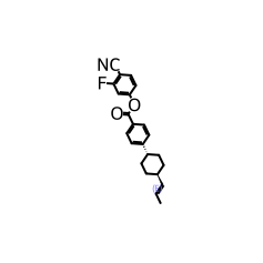 C/C=C/[C@H]1CC[C@H](c2ccc(C(=O)Oc3ccc(C#N)c(F)c3)cc2)CC1